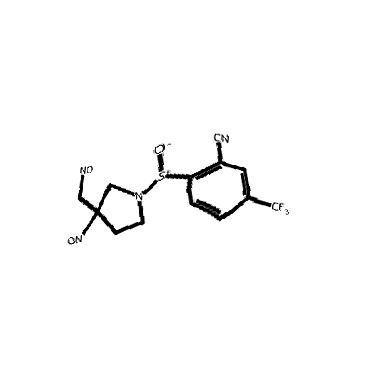 N#Cc1cc(C(F)(F)F)ccc1[S+]([O-])N1CCC(CN=O)(N=O)C1